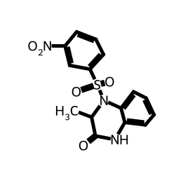 CC1C(=O)Nc2ccccc2N1S(=O)(=O)c1cccc([N+](=O)[O-])c1